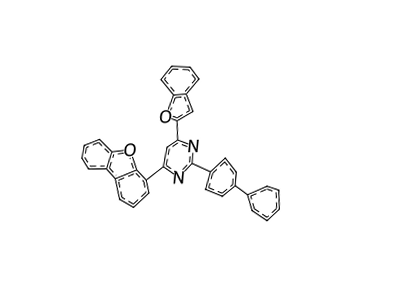 c1ccc(-c2ccc(-c3nc(-c4cc5ccccc5o4)cc(-c4cccc5c4oc4ccccc45)n3)cc2)cc1